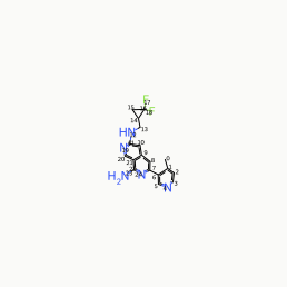 Cc1ccncc1-c1cc2cc(NCC3CC3(F)F)ncc2c(N)n1